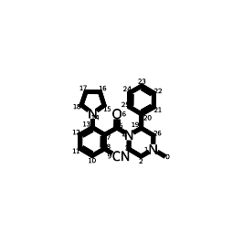 CN1CCN(C(=O)c2c(C#N)cccc2N2CCCC2)C(c2ccccc2)C1